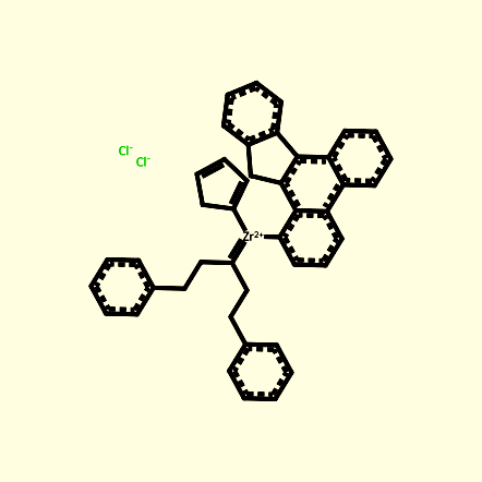 C1=CC[C]([Zr+2](=[C](CCc2ccccc2)CCc2ccccc2)[c]2cccc3c2c2c(c4ccccc43)-c3ccccc3C2)=C1.[Cl-].[Cl-]